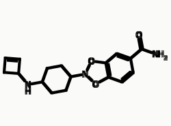 NC(=O)c1ccc2c(c1)ON(C1CCC(NC3C=CC3)CC1)O2